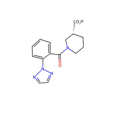 O=C(O)[C@@H]1CCCN(C(=O)c2ccccc2-n2nccn2)C1